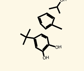 CC(C)(C)c1ccc(O)c(O)c1.CC(C)O.Cc1ccccc1